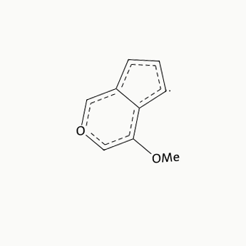 COc1cocc2cc[c]c1-2